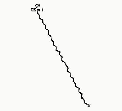 C[Si](Cl)(Cl)CCCCCCCCCCCCCCCCCCCCCCCCCCCCCCCCCCCBr